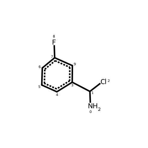 NC(Cl)c1cccc(F)c1